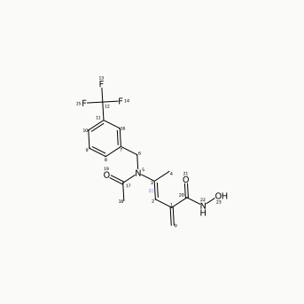 C=C(/C=C(\C)N(Cc1cccc(C(F)(F)F)c1)C(C)=O)C(=O)NO